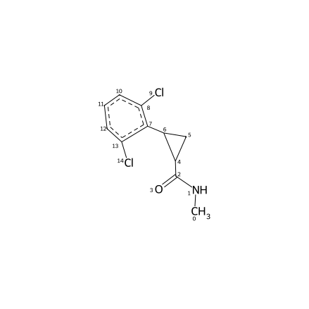 CNC(=O)C1CC1c1c(Cl)cccc1Cl